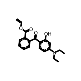 C=COC(=O)c1ccccc1C(=O)c1ccc(N(CC)CC)cc1O